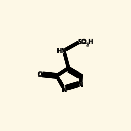 O=C1N=NC=C1NS(=O)(=O)O